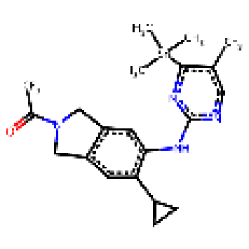 [CH3][Sn]([CH3])([CH3])[c]1nc(Nc2cc3c(cc2C2CC2)CN(C(=O)C(F)(F)F)C3)ncc1C(F)(F)F